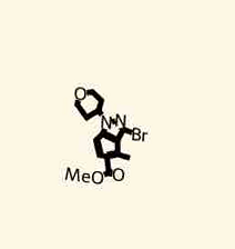 COC(=O)c1ccc2c(c(Br)nn2C2CCOCC2)c1C